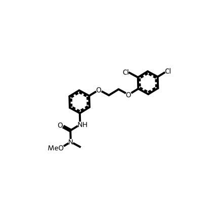 CON(C)C(=O)Nc1cccc(OCCOc2ccc(Cl)cc2Cl)c1